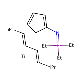 CC(C)C=CC=CC(C)C.CCP(CC)(CC)=NC1=CC=CC1.[Ti]